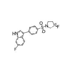 O=S(=O)(c1ccc(-c2c[nH]c3cc(F)ccc23)cc1)N1CC[C@@H](F)C1